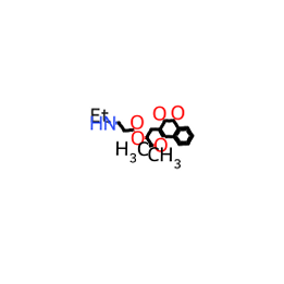 CCNCCC(=O)OC1CC2=C(OC1(C)C)c1ccccc1C(=O)C2=O